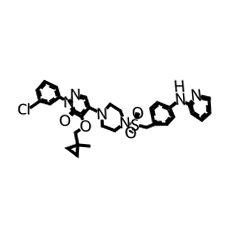 CC1(COc2c(N3CCN(S(=O)(=O)Cc4ccc(Nc5ccccn5)cc4)CC3)cnn(-c3cccc(Cl)c3)c2=O)CC1